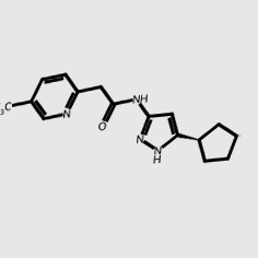 O=C(Cc1ccc(C(F)(F)F)cn1)Nc1cc([C@H]2C[CH]CC2)[nH]n1